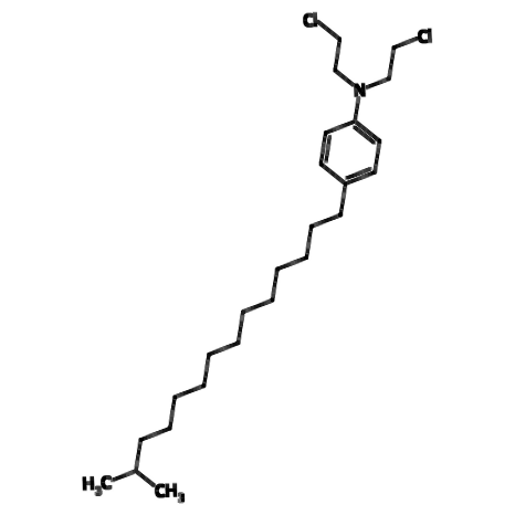 CC(C)CCCCCCCCCCCCc1ccc(N(CCCl)CCCl)cc1